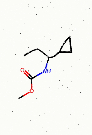 CCC(NC(=O)OC)C1CC1